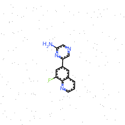 Nc1cncc(-c2cc(F)c3ncccc3c2)n1